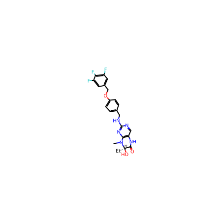 CC[C@@]1(O)C(=O)Nc2cnc(NCc3ccc(OCc4cc(F)c(F)c(F)c4)cc3)nc2N1C